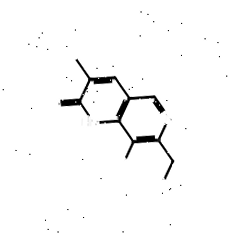 Cc1cc2cnc(CCl)c(F)c2[nH]c1=O